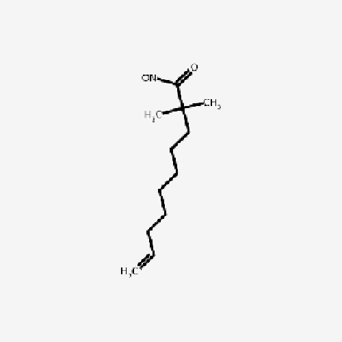 C=CCCCCCCC(C)(C)C(=O)N=O